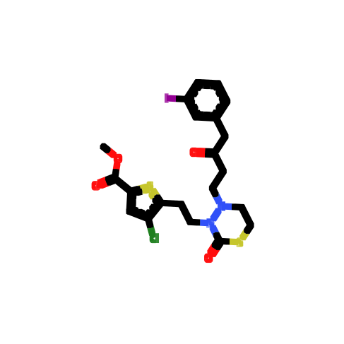 COC(=O)c1cc(Cl)c(CCN2C(=O)SCCN2CCC(=O)Cc2cccc(I)c2)s1